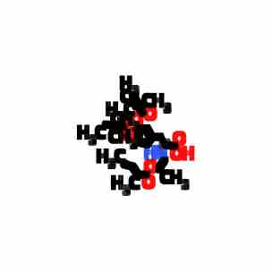 CCCC(C)C(=O)OC(C)CN[C@@H](Cc1ccc(OC(=O)C(C)(C)CC)c(OC(=O)C(C)(C)CC)c1)C(=O)O